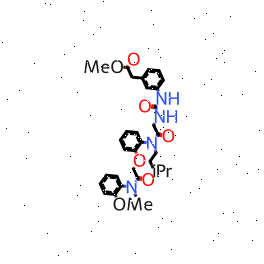 COC(=O)Cc1cccc(NC(=O)NCC(=O)N(CCC(C)C)c2ccccc2OCC(=O)N(C)c2ccccc2OC)c1